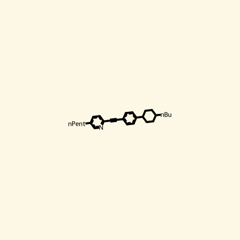 CCCCCc1ccc(C#Cc2ccc(C3CCC(CCCC)CC3)cc2)nc1